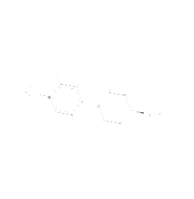 CCCCC[C@H]1CC[C@H](c2cc(F)c(C#N)cc2F)CC1